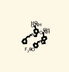 O=C(NO)c1ccc2ccn(CC=Cc3ccccc3)c2c1.O=C(NO)c1ccc2ccn(Cc3ccc(OC(F)(F)F)cc3)c2c1